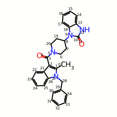 Cc1c(C(=O)N2CCC(n3c(=O)[nH]c4ccccc43)CC2)c2ccccc2n1Cc1ccccc1